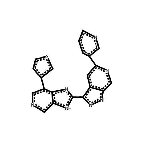 c1cncc(-c2cc3c(-c4nc5c(-c6ccsc6)cncc5[nH]4)n[nH]c3cn2)c1